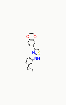 FC(F)(F)c1cccc(Nc2nc(-c3ccc4c(c3)OCCO4)cs2)c1